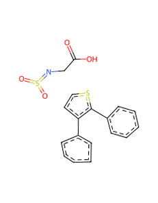 O=C(O)CN=S(=O)=O.c1ccc(-c2ccsc2-c2ccccc2)cc1